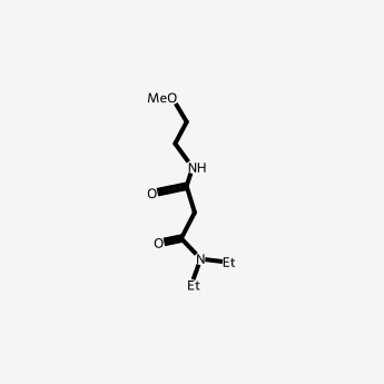 CCN(CC)C(=O)CC(=O)NCCOC